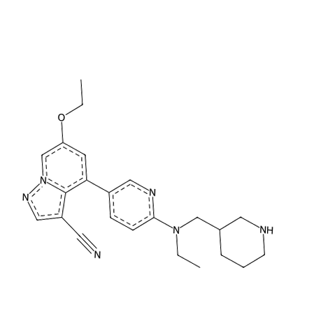 CCOc1cc(-c2ccc(N(CC)CC3CCCNC3)nc2)c2c(C#N)cnn2c1